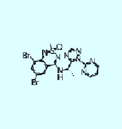 C[C@H](NC1=NS(C)(=O)=Nc2c(Br)cc(Br)cc21)c1ncnn1-c1ncccn1